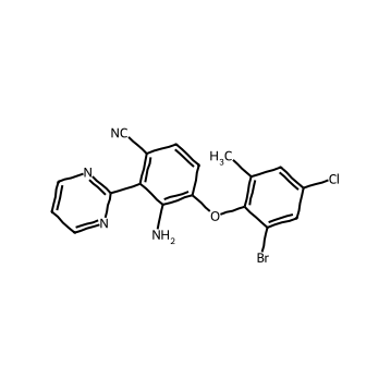 Cc1cc(Cl)cc(Br)c1Oc1ccc(C#N)c(-c2ncccn2)c1N